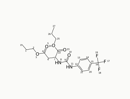 CCCOC(=O)CC(NC(=O)Nc1ccc(C(F)(F)F)cc1)C(=O)OCCC